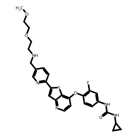 COCCOCCNCc1ccc(-c2cc3nccc(Oc4ccc(NC(=O)NC5CC5)cc4F)c3s2)nc1